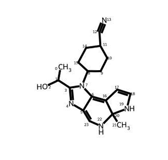 CC(O)c1nc2c(n1C1CCC(C#N)CC1)=C1C=CNC1(C)NC=2